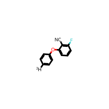 [2H]c1ccc(Oc2cccc(F)c2C#N)cc1